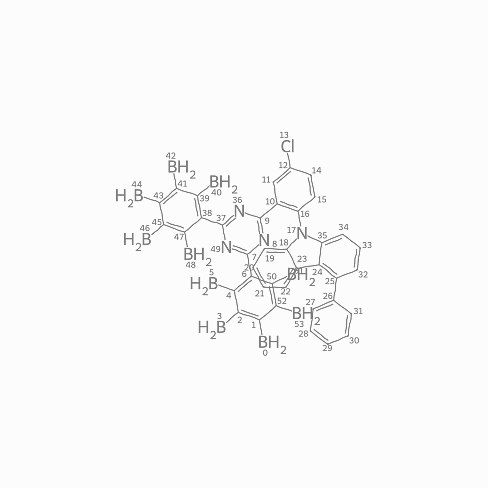 Bc1c(B)c(B)c(-c2nc(-c3cc(Cl)ccc3-n3c4ccccc4c4c(-c5ccccc5)cccc43)nc(-c3c(B)c(B)c(B)c(B)c3B)n2)c(B)c1B